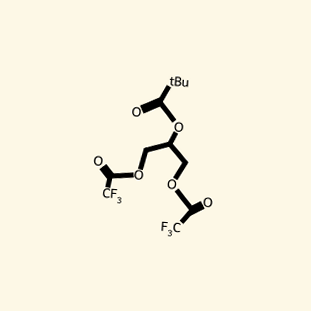 CC(C)(C)C(=O)OC(COC(=O)C(F)(F)F)COC(=O)C(F)(F)F